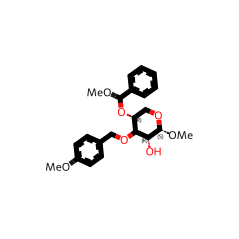 COc1ccc(COC2[C@@H](O)[C@@H](OC)OC[C@H]2OC(OC)c2ccccc2)cc1